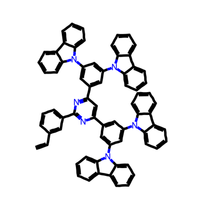 C=Cc1cccc(-c2nc(-c3cc(-n4c5ccccc5c5ccccc54)cc(-n4c5ccccc5c5ccccc54)c3)cc(-c3cc(-n4c5ccccc5c5ccccc54)cc(-n4c5ccccc5c5ccccc54)c3)n2)c1